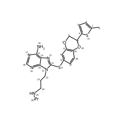 Cc1ccc(C2COc3cc(Sc4nc5c(N)ncnc5n4CCCNC(C)C)ccc3O2)s1